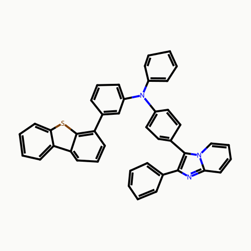 c1ccc(-c2nc3ccccn3c2-c2ccc(N(c3ccccc3)c3cccc(-c4cccc5c4sc4ccccc45)c3)cc2)cc1